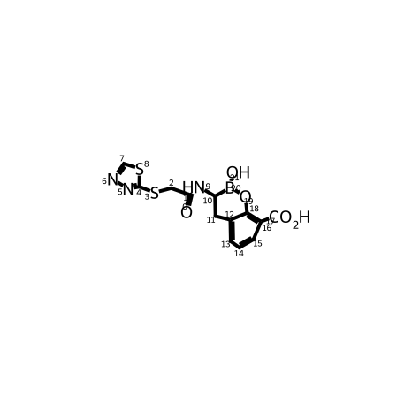 O=C(CSc1nncs1)NC1Cc2cccc(C(=O)O)c2OB1O